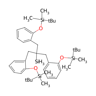 CC(C)(C)[Si](C)(C)Oc1ccccc1CC([SiH3])(Cc1ccccc1O[Si](C)(C)C(C)(C)C)Cc1ccccc1O[Si](C)(C)C(C)(C)C